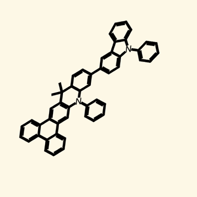 CC1(C)c2cc3c4ccccc4c4ccccc4c3cc2N(c2ccccc2)C2C=C(c3ccc4c(c3)c3ccccc3n4-c3ccccc3)C=CC21